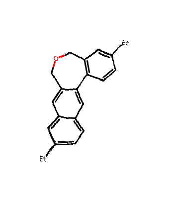 CCc1ccc2c(c1)COCc1cc3cc(CC)ccc3cc1-2